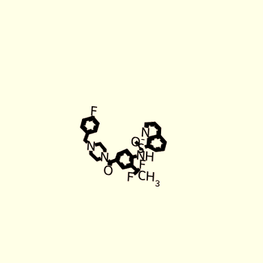 CC(F)(F)c1cc(C(=O)N2CCN(Cc3ccc(F)cc3)CC2)ccc1N[S+]([O-])c1cccc2cccnc12